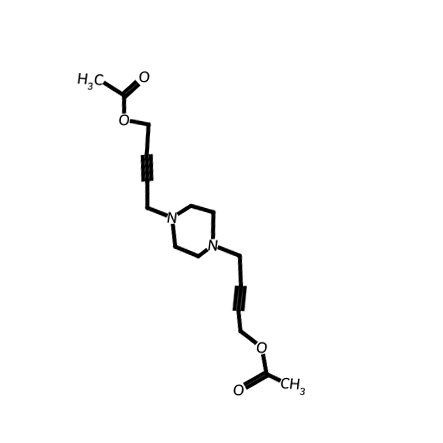 CC(=O)OCC#CCN1CCN(CC#CCOC(C)=O)CC1